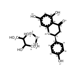 CCOCC.O=C(O)C(O)C(O)C(=O)O.O=C1C[C@@H](c2ccc(O)cc2)Oc2cc(O)cc(O)c21